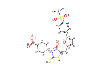 CN(C)S(=O)(=O)c1ccc(-c2ccc(C=C3SC(=S)N(C4CCC(C(=O)O)CC4)C3=O)o2)cc1